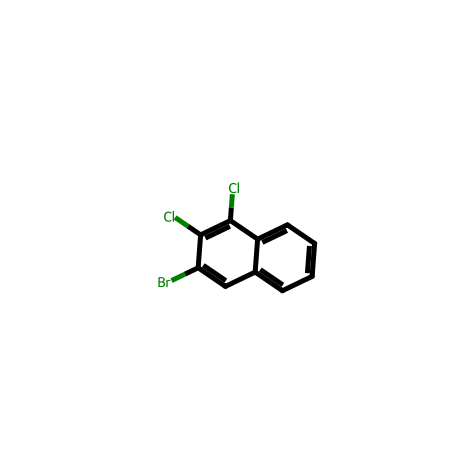 Clc1c(Br)cc2ccccc2c1Cl